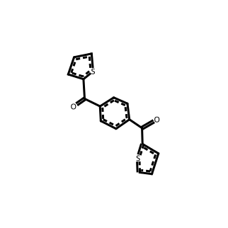 O=C(c1ccc(C(=O)c2cccs2)cc1)c1cccs1